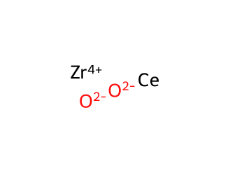 [Ce].[O-2].[O-2].[Zr+4]